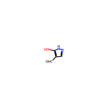 O=[C]c1cn[nH]c1O